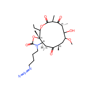 CCC1OC(=O)C(C)C(=O)[C@H](C)C(O)C(OC)C[C@@H](C)C(=O)[C@H](C)[C@H]2N(CCCCN=[N+]=[N-])C(=O)O[C@]12C